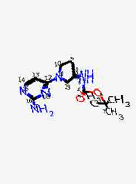 CC(C)(C)OC(=O)NC1CCN(c2ccnc(N)n2)C1